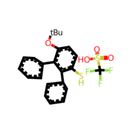 CC(C)(C)Oc1ccc(S)c(-c2ccccc2)c1-c1ccccc1.O=S(=O)(O)C(F)(F)F